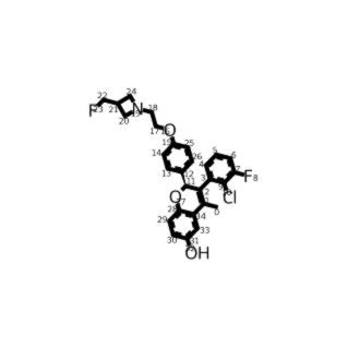 CC1=C(c2cccc(F)c2Cl)[C@H](c2ccc(OCCN3CC(CF)C3)cc2)Oc2ccc(O)cc21